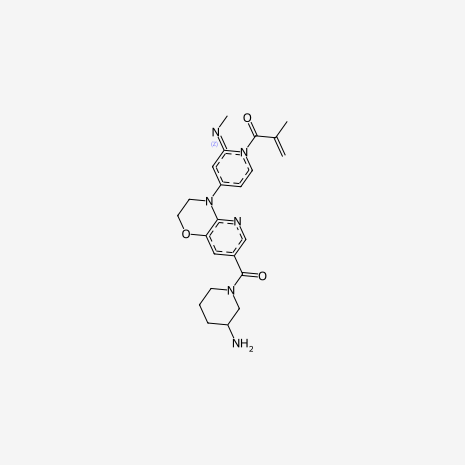 C=C(C)C(=O)n1ccc(N2CCOc3cc(C(=O)N4CCCC(N)C4)cnc32)c/c1=N/C